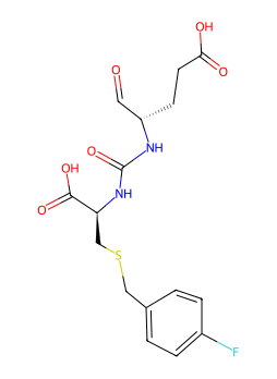 O=C[C@H](CCC(=O)O)NC(=O)N[C@@H](CSCc1ccc(F)cc1)C(=O)O